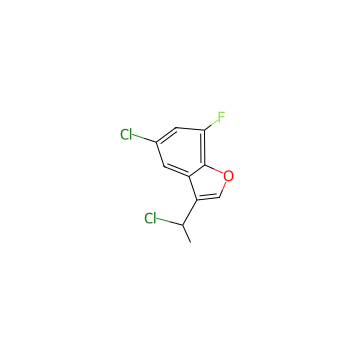 CC(Cl)c1coc2c(F)cc(Cl)cc12